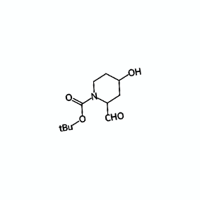 CC(C)(C)OC(=O)N1CCC(O)CC1C=O